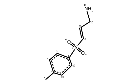 Cc1ccc(S(=O)(=O)C=CCN)cc1